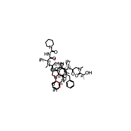 CCN(C(=O)[C@H](CCc1ccccc1)N(C)C(=O)CN(C)C(=O)[C@@H](C)O)[C@@H](Cc1ccccc1)C(=O)N(C)[C@@H](CC(C)C)C(=O)N1CCC[C@H]1C(=O)N(C)[C@@H](CC(C)C)C(=O)N[C@@H](C)C(=O)N(C)[C@H](C(=O)NC(=O)N1CCCCC1)C(C)C